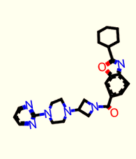 O=C(c1ccc2nc(C3CCCCC3)oc2c1)N1CC(N2CCN(c3ncccn3)CC2)C1